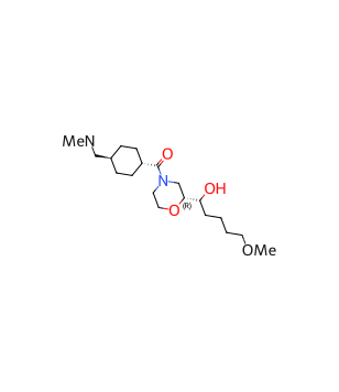 CNC[C@H]1CC[C@H](C(=O)N2CCO[C@@H](C(O)CCCCOC)C2)CC1